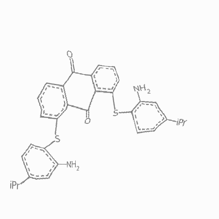 CC(C)c1ccc(Sc2cccc3c2C(=O)c2c(Sc4ccc(C(C)C)cc4N)cccc2C3=O)c(N)c1